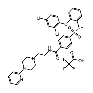 O=C(NCCN1CCN(c2ccccn2)CC1)c1ccc(S(=O)(=O)Nc2ccccc2Oc2ccc(Cl)cc2Cl)cc1.O=C(O)C(F)(F)F